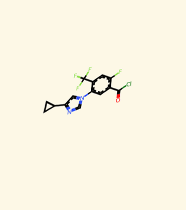 O=C(Cl)c1cc(-n2cnc(C3CC3)c2)c(C(F)(F)F)cc1F